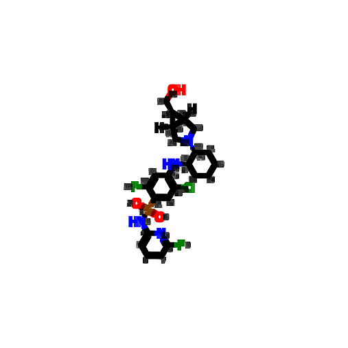 O=S(=O)(Nc1cccc(F)n1)c1cc(Cl)c(N[C@@H]2CCCC[C@H]2N2C[C@@H]3[C@@H](CO)[C@@H]3C2)cc1F